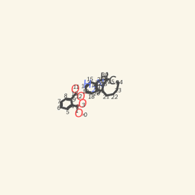 COC(=O)c1ccccc1C(=O)Oc1ccc2c(c1)[C@@]1(C)CCCCC[C@@H](C2)[C@@H]1N